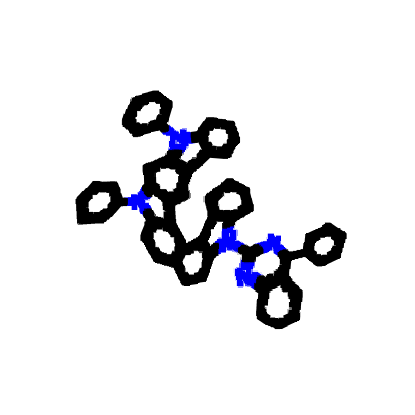 c1ccc(-c2nc(-n3c4ccccc4c4c5c(ccc6c5c5cc7c8ccccc8n(-c8ccccc8)c7cc5n6-c5ccccc5)ccc43)nc3ccccc23)cc1